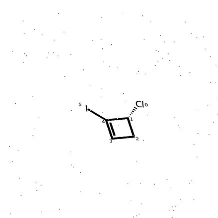 Cl[C@@H]1CC=C1I